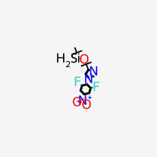 CC(C)(C)[SiH2]OC(C)(C)c1cn(-c2c(F)cc([N+](=O)[O-])cc2F)cn1